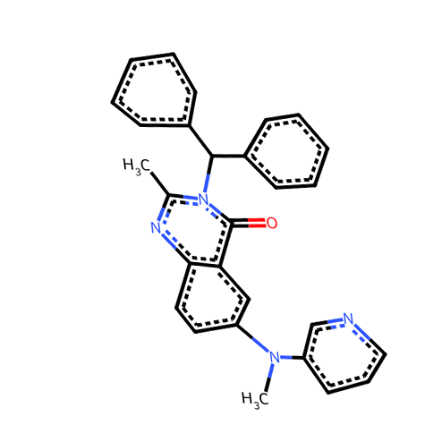 Cc1nc2ccc(N(C)c3cccnc3)cc2c(=O)n1C(c1ccccc1)c1ccccc1